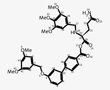 COc1cc(COc2cccc(-c3ccc(C(=O)OC(=O)[C@H](CCC(N)=O)NCc4cc(OC)c(OC)c(OC)c4)cc3)c2)cc(OC)c1